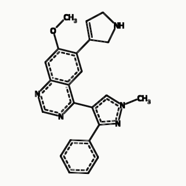 COc1cc2ncnc(-c3cn(C)nc3-c3ccccc3)c2cc1C1=CCNC1